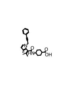 Cc1sc2ccn(CC#Cc3ccccc3)c2c1C(=O)NC1CCC(C(=O)O)CC1